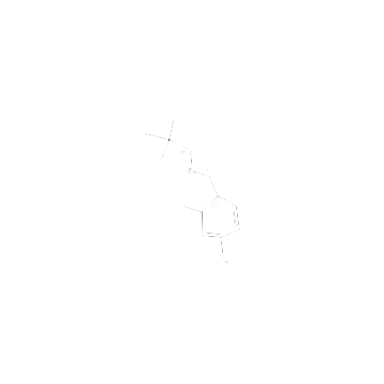 C[C@@H](N[S@@+]([O-])C(C)(C)C)c1ccc(Br)cc1F